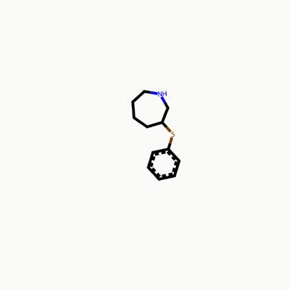 c1ccc(SC2CCCCNC2)cc1